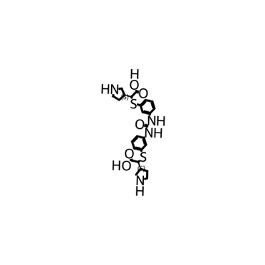 O=C(Nc1cccc(SC(C(=O)O)[C@H]2CCNC2)c1)Nc1cccc(SC(C(=O)O)[C@H]2CCNC2)c1